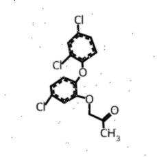 CC(=O)COc1cc(Cl)ccc1Oc1ccc(Cl)cc1Cl